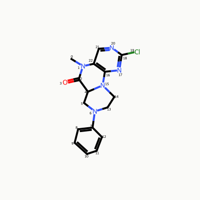 CN1C(=O)C2CN(c3ccccc3)CCN2c2nc(Cl)ncc21